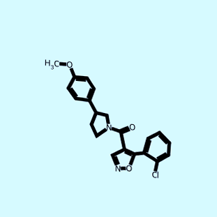 COc1ccc(C2CCN(C(=O)c3cnoc3-c3ccccc3Cl)C2)cc1